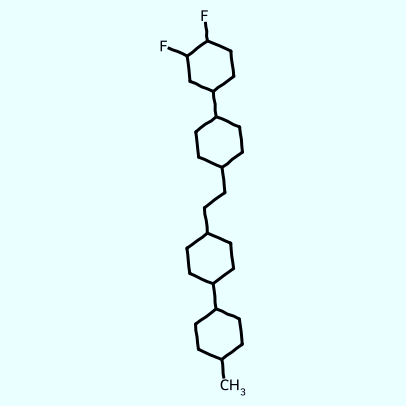 CC1CCC(C2CCC(CCC3CCC(C4CCC(F)C(F)C4)CC3)CC2)CC1